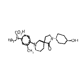 CCCN(C(=O)O)c1ccc(N2CCCC3(CCN([C@H]4CC[C@H](O)CC4)C3=O)C2)c(C)c1